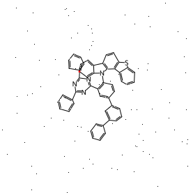 c1ccc(-c2cccc(-c3ccc(-n4c5ccccc5c5ccc6sc7ccccc7c6c54)c(-c4nc(-c5ccccc5)nc(-c5ccccc5)n4)c3)c2)cc1